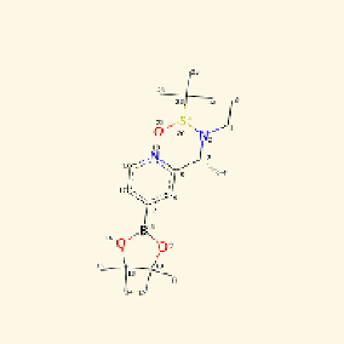 CCN([C@H](C)c1cc(B2OC(C)(C)C(C)(C)O2)ccn1)[S+]([O-])C(C)(C)C